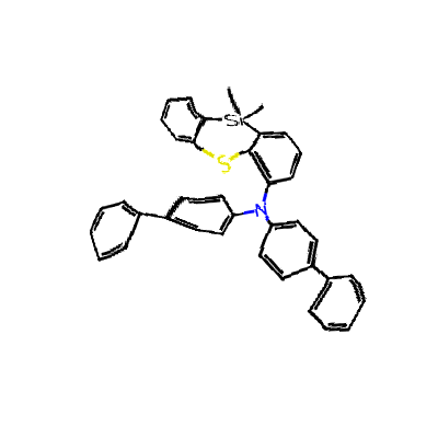 C[Si]1(C)c2ccccc2Sc2c(N(c3ccc(-c4ccccc4)cc3)c3ccc(-c4ccccc4)cc3)cccc21